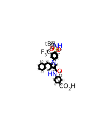 Cc1c(C(=O)N[C@H]2CC[C@H](C(=O)O)CC2)cn(-c2ccc(S(=O)(=O)NC(C)(C)C)c(C(F)(F)F)c2)c1CC1CCCCC1